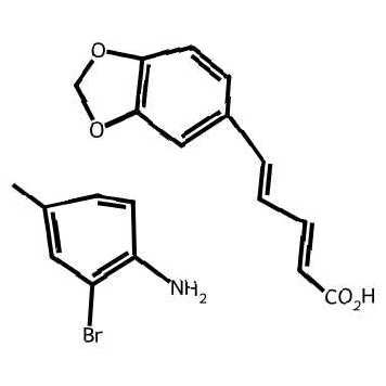 Cc1ccc(N)c(Br)c1.O=C(O)C=CC=Cc1ccc2c(c1)OCO2